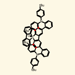 CC(C)(C)c1ccc(N(c2ccc(C(C)(C)C)cc2)c2ccccc2-c2ccc3c(c2)-c2cc(-c4ccccc4N(c4ccc(C(C)(C)C)cc4)c4ccc(C(C)(C)C)cc4)ccc2S32(=O)c3ccccc3-c3ccccc32)cc1